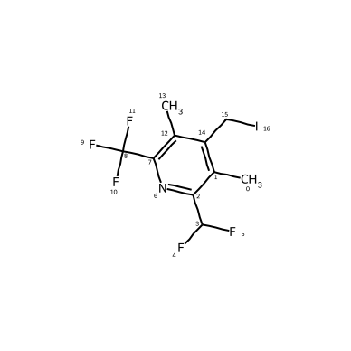 Cc1c(C(F)F)nc(C(F)(F)F)c(C)c1CI